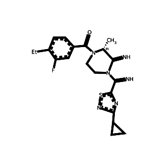 CCc1ccc(C(=O)N2CCN(C(=N)c3nc(C4CC4)ns3)C(=N)[C@H]2C)cc1F